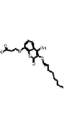 CCCCCC/C=C/Oc1c(O)c2cccc(OCCC(=O)O)c2oc1=O